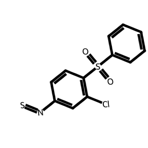 O=S(=O)(c1ccccc1)c1ccc(N=S)cc1Cl